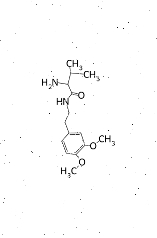 COc1ccc(CCNC(=O)C(N)C(C)C)cc1OC